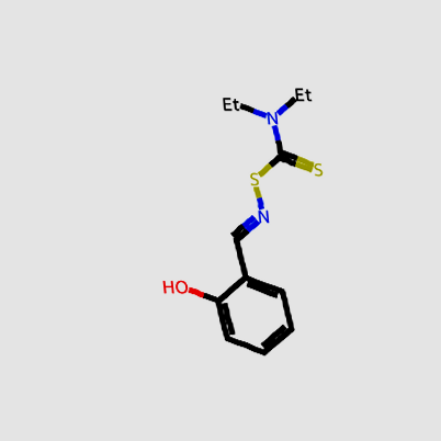 CCN(CC)C(=S)SN=Cc1ccccc1O